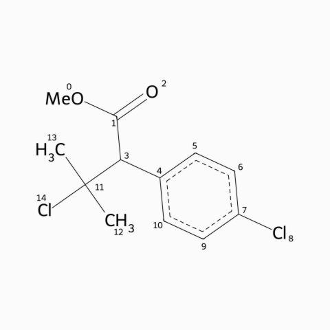 COC(=O)C(c1ccc(Cl)cc1)C(C)(C)Cl